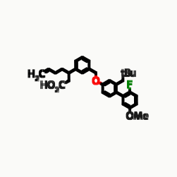 C=CCCC(CC(=O)O)c1cccc(COc2ccc(-c3cc(OC)ccc3F)c(CC(C)(C)C)c2)c1